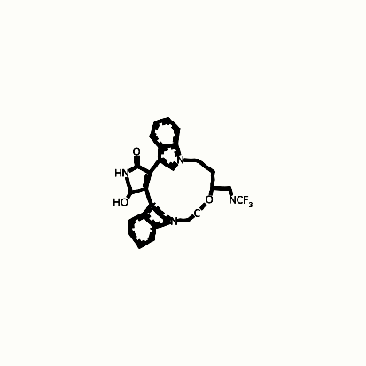 O=C1NC(O)C2=C1c1cn(c3ccccc13)CCC(CNC(F)(F)F)OCCn1cc2c2ccccc21